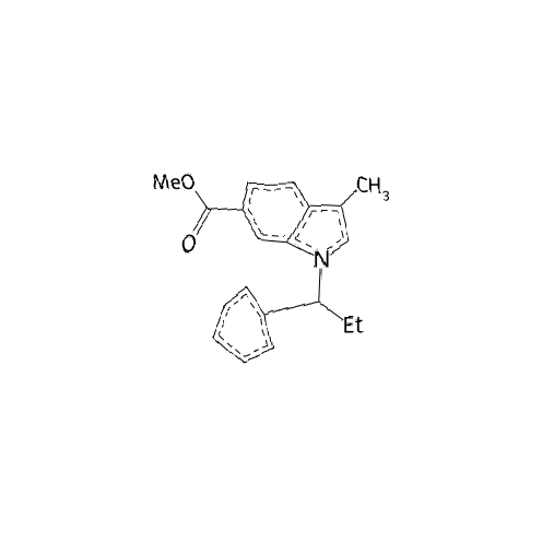 CCC(c1ccccc1)n1cc(C)c2ccc(C(=O)OC)cc21